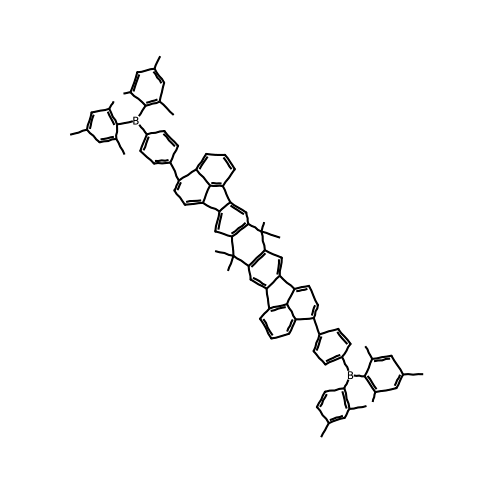 Cc1ccc(B(c2ccc(-c3ccc4c5c(cccc35)-c3cc5c(cc3-4)C(C)(C)c3cc4c(cc3C5(C)C)-c3ccc(-c5ccc(B(c6c(C)cc(C)cc6C)c6c(C)cc(C)cc6C)cc5)c5cccc-4c35)cc2)c2c(C)cc(C)cc2C)c(C)c1